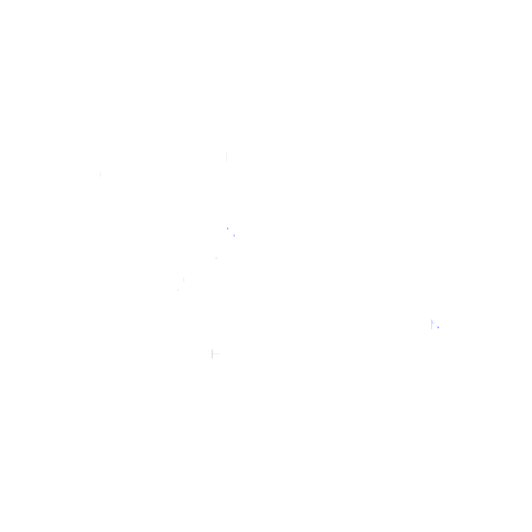 C=C1c2c(C)cc(-c3cccnc3)cc2CN1C(C)CCC